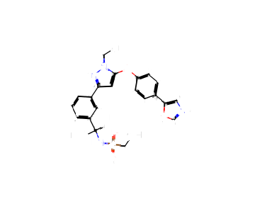 CCn1nc(-c2cccc(C(C)(C)NS(=O)(=O)CC)c2)cc1Oc1ccc(-c2cnco2)cc1